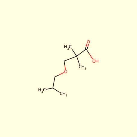 CC(C)COCC(C)(C)C(=O)O